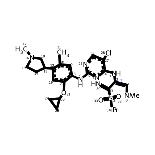 CN/C=C(/Nc1nc(Nc2cc(C)c(C3CCN(C)C3)cc2OC2CC2)ncc1Cl)C(=N)S(=O)(=O)C(C)C